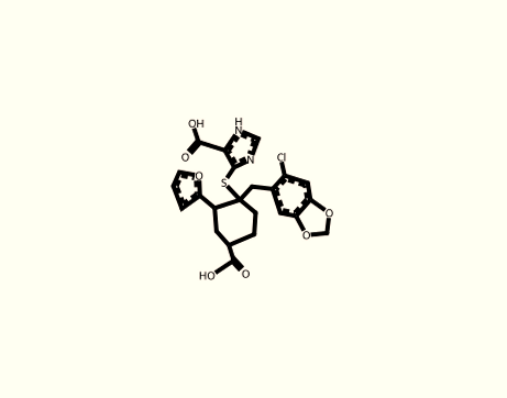 O=C(O)c1[nH]cnc1SC1(Cc2cc3c(cc2Cl)OCO3)CCC(C(=O)O)CC1c1ccco1